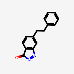 O=C1N=Nc2cc(C[CH]c3ccccc3)ccc21